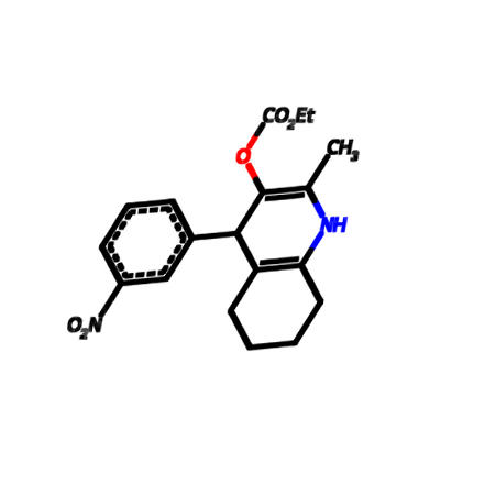 CCOC(=O)OC1=C(C)NC2=C(CCCC2)C1c1cccc([N+](=O)[O-])c1